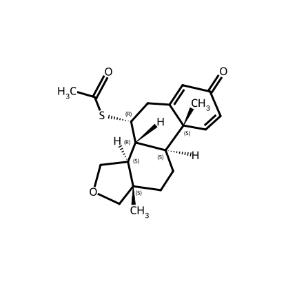 CC(=O)S[C@@H]1CC2=CC(=O)C=C[C@]2(C)[C@H]2CC[C@]3(C)COC[C@H]3[C@H]12